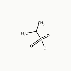 CC(C)S([O])(=O)=O